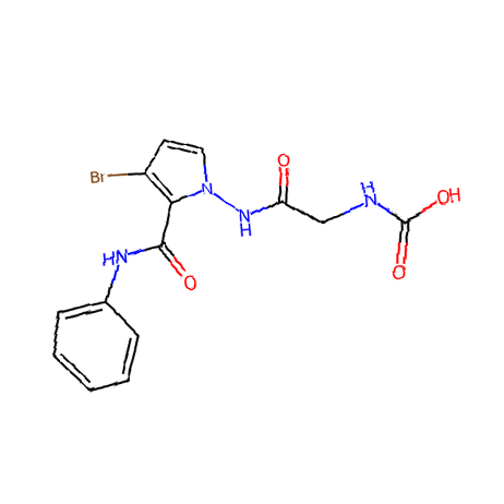 O=C(O)NCC(=O)Nn1ccc(Br)c1C(=O)Nc1ccccc1